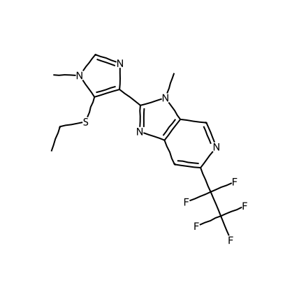 CCSc1c(-c2nc3cc(C(F)(F)C(F)(F)F)ncc3n2C)ncn1C